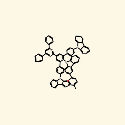 Cc1ccc(-c2ccc3c(c2)c2ccccc2n3-c2c(-c3ccc(-n4c5ccccc5c5ccccc54)cc3)cc(-c3nc(-c4ccccc4)cc(-c4ccccc4)n3)cc2-c2ccc(-n3c4ccccc4c4ccccc43)cc2)cc1